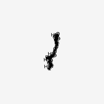 O=C1CCC(N2C(=O)c3ccc(N4CCN(CCOCCOCCOCCNC(=O)c5ccc(-n6cc(NC(=O)c7coc(-c8ccnc(NCC9CC9)c8)n7)c(C(F)F)n6)cc5)CC4)cc3C2=O)C(=O)N1